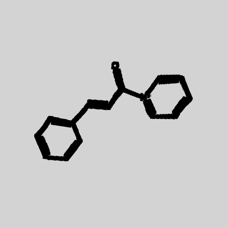 O=C(/C=C/c1ccccc1)[n+]1ccccc1